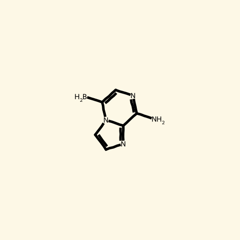 Bc1cnc(N)c2nccn12